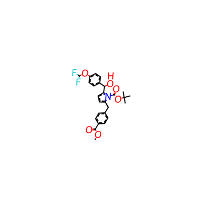 COC(=O)c1ccc(Cc2ccc(C(O)c3ccc(OC(F)F)cc3)n2C(=O)OC(C)(C)C)cc1